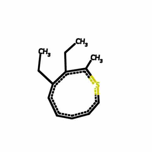 CCc1cccccsc(C)c1CC